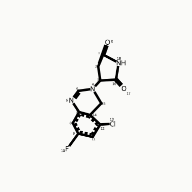 O=C1CC(N2C=Nc3cc(F)cc(Cl)c3C2)C(=O)N1